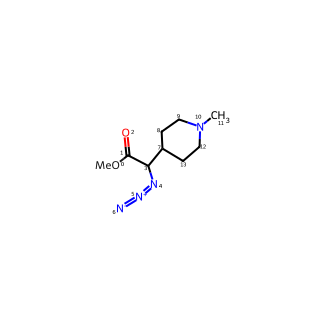 COC(=O)C(N=[N+]=[N-])C1CCN(C)CC1